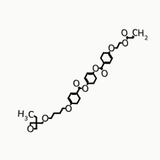 C=CC(=O)OCCOC1=CC=C(C(=O)OC2=CC=C(OC(=O)C3=CC=C(OCCCCOCC4(CC)COC4)CC3)CC2)CC1